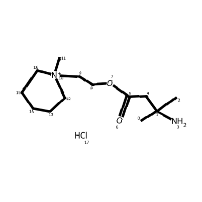 CC(C)(N)CC(=O)OCC[N+]1(C)CCCCC1.Cl